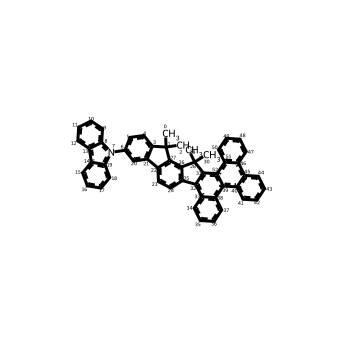 CC1(C)c2ccc(-n3c4ccccc4c4ccccc43)cc2-c2ccc3c(c21)C(C)(C)c1c-3c2ccccc2c2c3ccccc3c3ccccc3c12